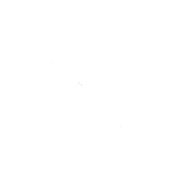 CCC(C)(C)c1cccc(N(SC(F)(Cl)Cl)C(=O)c2ccccc2C)c1